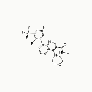 CNC(=O)c1cnc2c(-c3cc(F)cc(C(F)(F)F)c3F)cccc2c1N1CCOCC1